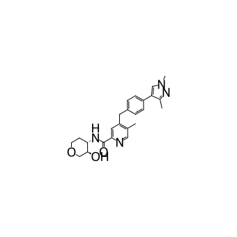 Cc1cnc(C(=O)N[C@H]2CCOC[C@@H]2O)cc1Cc1ccc(-c2cn(C)nc2C)cc1